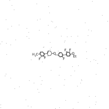 CCOc1ccc(-c2ccc(COC3CC=C(c4ccc(C)c(F)c4F)CC3)cc2F)c(F)c1F